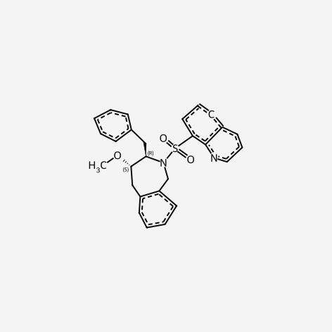 CO[C@H]1Cc2ccccc2CN(S(=O)(=O)c2cccc3cccnc23)[C@@H]1Cc1ccccc1